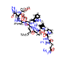 CSCC[C@H](NC(=O)[C@H](CC(C)C)NC(=O)[C@@H]1CCCN1C(=O)[C@@H]1CCCN1C(=O)CNC(=O)[C@@H](N)CCC(N)=O)C(=O)N[C@@H](Cc1c[nH]c2ccccc12)C(=O)N[C@@H](CC(C)C)C(=O)N[C@@H](CCC(N)=O)C(=O)N[C@@H](CO)C(=O)O